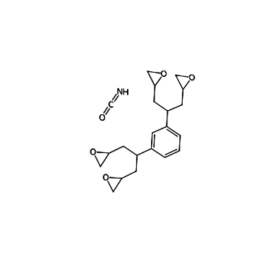 N=C=O.c1cc(C(CC2CO2)CC2CO2)cc(C(CC2CO2)CC2CO2)c1